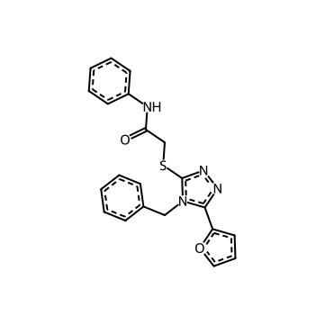 O=C(CSc1nnc(-c2ccco2)n1Cc1ccccc1)Nc1ccccc1